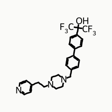 OC(c1ccc(-c2ccc(CN3CCN(CCc4ccncc4)CC3)cc2)cc1)(C(F)(F)F)C(F)(F)F